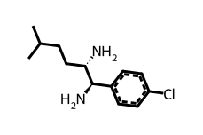 CC(C)CC[C@H](N)[C@H](N)c1ccc(Cl)cc1